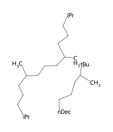 CC(C)CCCC(C)CCCC(C)CCCC(C)C.CCCCCCCCCCCCCC(C)C(C)(C)C